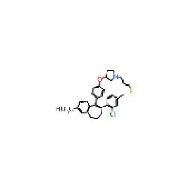 Cc1ccc(C2=C(c3ccc(OC4CCN(CCCF)C4)cc3)c3ccc(C(=O)O)cc3CCC2)c(Cl)c1